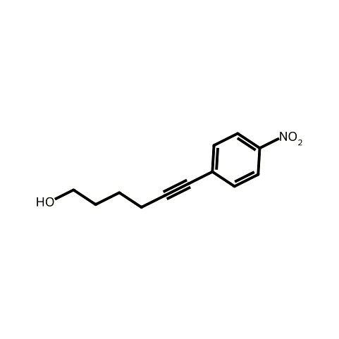 O=[N+]([O-])c1ccc(C#CCCCCO)cc1